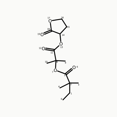 CCC(C)(C)C(=O)OC(C)(C)C(=O)OC1CCOC1=O